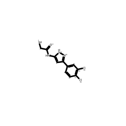 O=C(CS)Nc1cc(-c2ccc(Cl)c(Cl)c2)n[nH]1